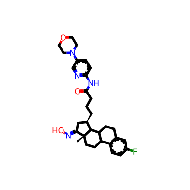 C[C@]12CCC3c4ccc(F)cc4CCC3C1[C@H](CCCC(=O)Nc1ccc(N3CCOCC3)cn1)C/C2=N\O